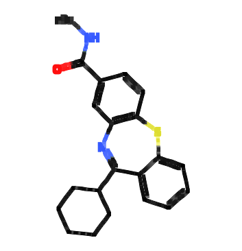 CCCCNC(=O)c1ccc2c(c1)N=C(C1CCCCC1)c1ccccc1S2